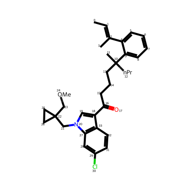 C/C=C(\C)c1ccccc1C(C)(CCC)CCCC(=O)c1cn(CC2(COC)CC2)c2cc(Cl)ccc12